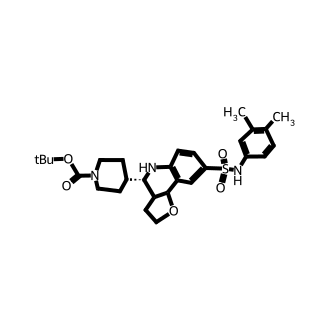 Cc1ccc(NS(=O)(=O)c2ccc3c(c2)C2OCCC2[C@H](C2CCN(C(=O)OC(C)(C)C)CC2)N3)cc1C